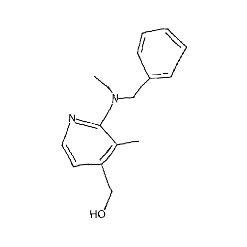 Cc1c(CO)ccnc1N(C)Cc1ccccc1